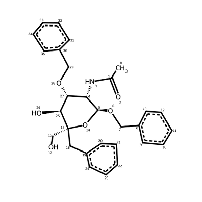 CC(=O)N[C@@H]1[C@@H](OCc2ccccc2)O[C@@](CO)(Cc2ccccc2)[C@@H](O)[C@@H]1OCc1ccccc1